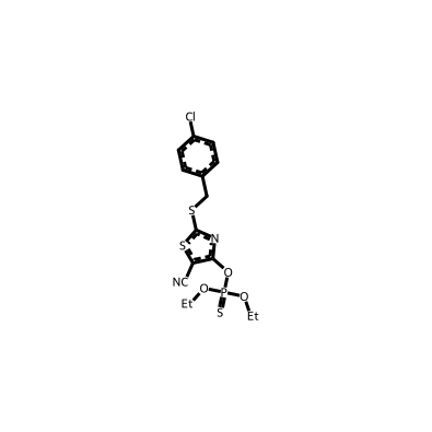 CCOP(=S)(OCC)Oc1nc(SCc2ccc(Cl)cc2)sc1C#N